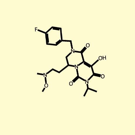 CON(C)CCC1CN(Cc2ccc(F)cc2)C(=O)c2c(O)c(=O)n(C(C)C)c(=O)n21